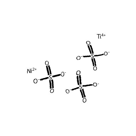 O=S(=O)([O-])[O-].O=S(=O)([O-])[O-].O=S(=O)([O-])[O-].[Ni+2].[Ti+4]